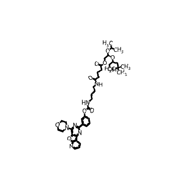 CC(C)OC(COC(=O)CCCC(=O)NCCCCNC(=O)Oc1cccc(-c2nc(N3CCOCC3)c3oc4ncccc4c3n2)c1)OC(CO)CC(C)(C)C